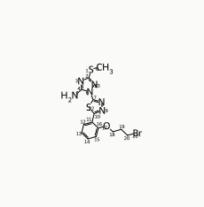 CSc1nc(N)n(-c2nnc(-c3ccccc3OCCCBr)s2)n1